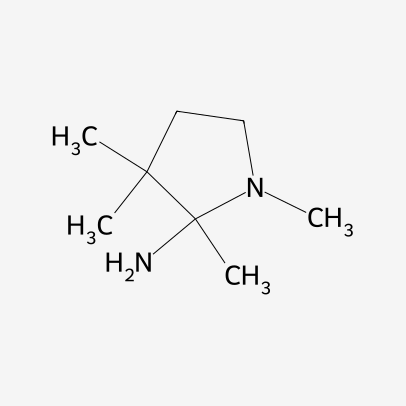 CN1CCC(C)(C)C1(C)N